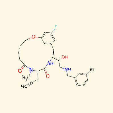 C#CCC1C(=O)N[C@H]([C@H](O)CNCc2cccc(CC)c2)Cc2cc(F)cc(c2)OCCCCC(=O)N1C